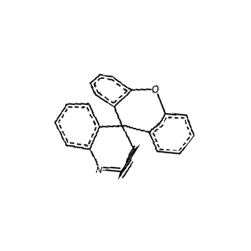 C1=CC2=Nc3ccccc3C3(c4ccccc4Oc4ccccc43)C2C=C1